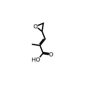 C/C(=C\C1CO1)C(=O)O